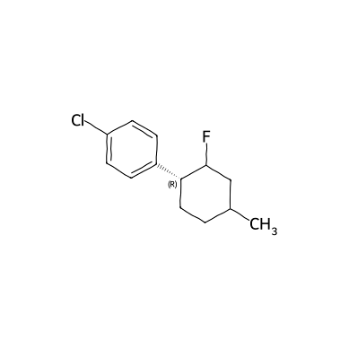 CC1CC[C@H](c2ccc(Cl)cc2)C(F)C1